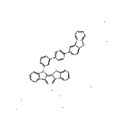 c1cc(-c2ccc(-c3ccc4oc5ccccc5c4c3)cc2)cc(-n2c3ccccc3c3ccc4c5ccccc5oc4c32)c1